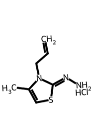 C=CCn1c(C)cs/c1=N\N.Cl